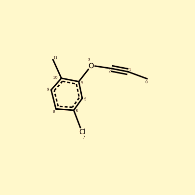 CC#COc1cc(Cl)ccc1C